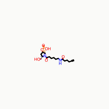 C#CCCCC(=O)NCCCCCC(=O)N1C[C@H](O[PH](=O)O)C[C@H]1CO